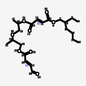 CCCCC(CC)COC(=O)/C=C/C(=O)OC(C)COC(C)COC(=O)/C=C/C=O